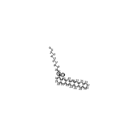 CCCCCCCCCCCCOC(=O)C1CCCC2CC3CC4CC5CC6CC7CCCCC7CC6CC5CC4CC3CC21